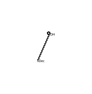 CCCCCCCCCCCCCCCCCCCCCCCCCCCCCCCCc1ccccc1O